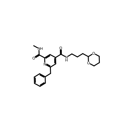 CNC(=O)c1cc(C(=O)NCCCC2OCCCO2)cc(Cc2ccccc2)n1